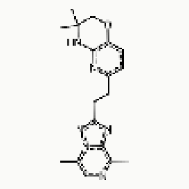 Cc1ncc(C)n2nc(CCc3ccc4c(n3)NC(C)(C)CO4)nc12